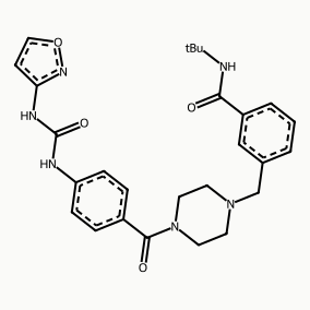 CC(C)(C)NC(=O)c1cccc(CN2CCN(C(=O)c3ccc(NC(=O)Nc4ccon4)cc3)CC2)c1